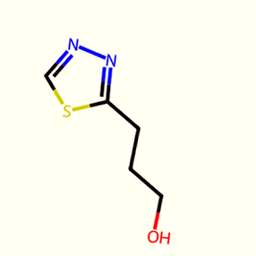 OCCCc1nncs1